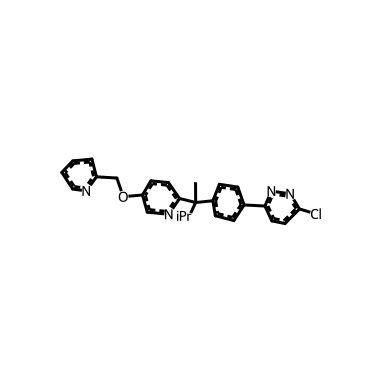 CC(C)C(C)(c1ccc(-c2ccc(Cl)nn2)cc1)c1ccc(OCc2ccccn2)cn1